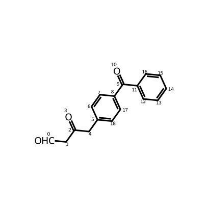 O=CCC(=O)Cc1ccc(C(=O)c2ccccc2)cc1